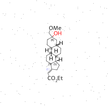 CCOC(=O)/C=C1\CC[C@H]2[C@@H]3CC[C@H]4C[C@@](O)(COC)CC[C@@H]4[C@H]3CC[C@]12C